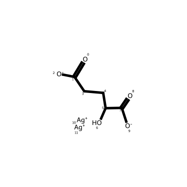 O=C([O-])CCC(O)C(=O)[O-].[Ag+].[Ag+]